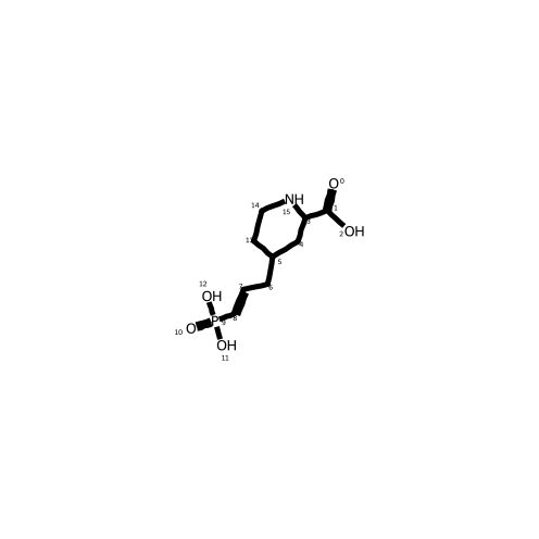 O=C(O)C1CC(CC=CP(=O)(O)O)CCN1